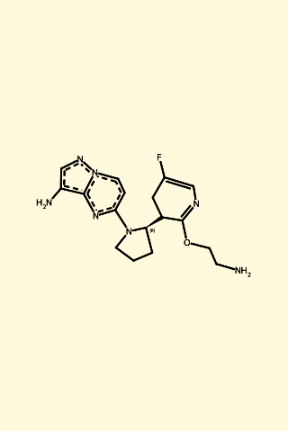 NCCOC1=NC=C(F)CC1[C@H]1CCCN1c1ccn2ncc(N)c2n1